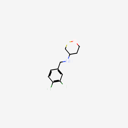 Clc1ccc(CNC2CCOSC2)cc1Cl